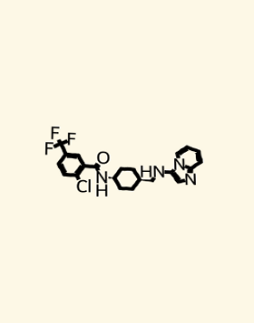 O=C(N[C@H]1CC[C@H](CNc2cnc3ccccn23)CC1)c1cc(C(F)(F)F)ccc1Cl